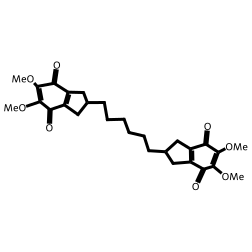 COC1=C(OC)C(=O)C2=C(CC(CCCCCCC3CC4=C(C3)C(=O)C(OC)=C(OC)C4=O)C2)C1=O